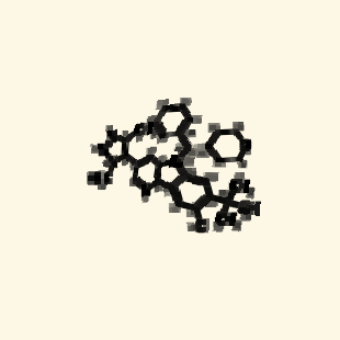 Cc1nnn(C)c1-c1cnc2c3cc(Cl)c(C(C)(C)O)cc3n([C@H](c3ccccc3)C3CCOCC3)c2c1